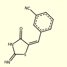 N#Cc1cccc(C=C2SC(=N)NC2=O)c1